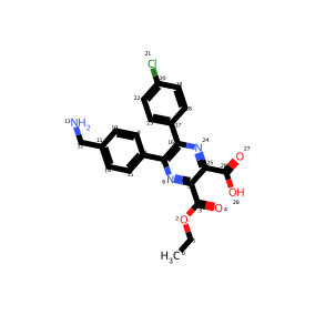 CCOC(=O)c1nc(-c2ccc(CN)cc2)c(-c2ccc(Cl)cc2)nc1C(=O)O